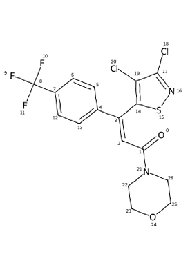 O=C(/C=C(/c1ccc(C(F)(F)F)cc1)c1snc(Cl)c1Cl)N1CCOCC1